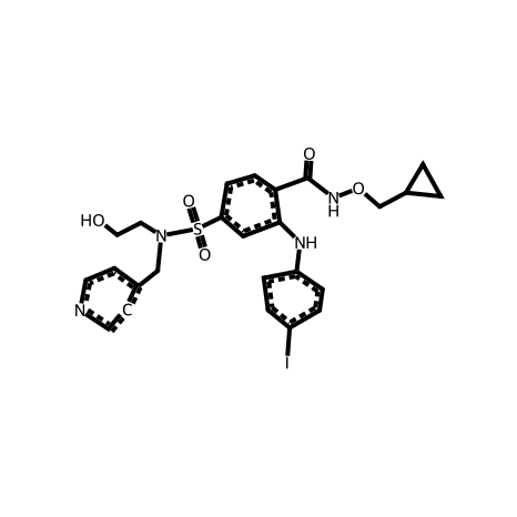 O=C(NOCC1CC1)c1ccc(S(=O)(=O)N(CCO)Cc2ccncc2)cc1Nc1ccc(I)cc1